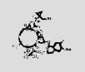 CC[C@@H]1C[C@@H](C)CCC=C[C@@H]2C[C@@]2(C(=O)NS(=O)(=O)C2(CO)CC2)NC(=O)[C@@H]2C[C@@H](Oc3nccc4cc(OC)c(F)cc34)CN2C(=O)[C@H]1N(C(=O)O)C(C)(C)C(F)(F)F